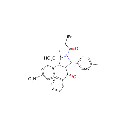 Cc1ccc(C2C(C(=O)c3ccccc3)C(c3ccc([N+](=O)[O-])cc3)C(C)(C(=O)O)N2C(=O)CC(C)C)cc1